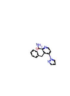 NC(=O)c1nccc(-n2cccn2)c1Cc1ccccc1